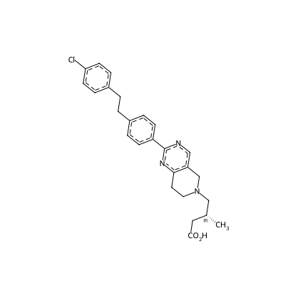 C[C@H](CC(=O)O)CN1CCc2nc(-c3ccc(CCc4ccc(Cl)cc4)cc3)ncc2C1